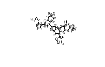 CCn1nccc1C(=O)NC(c1cn2nc(CC3C[C@@H](C(F)(F)F)CNC3=O)c(C(=O)OC)cc2n1)C1CCC(F)(F)CC1